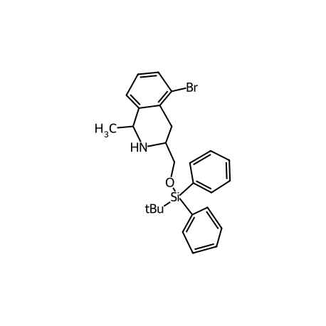 CC1NC(CO[Si](c2ccccc2)(c2ccccc2)C(C)(C)C)Cc2c(Br)cccc21